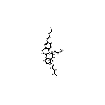 CCCCOc1ccc2c(c1)CCC1C2[C@@H](CCO)CC2(C)C(OCCCC)CCC12